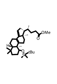 COC(=O)CC[C@@H](C)[C@H]1CC=C2C3=C(CC[C@@]21C)[C@@]1(C)C(O[Si](C)(C)C(C)(C)C)CCC(C)(C)[C@@H]1CC3